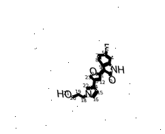 O=C1Nc2cc(F)ccc2/C1=C1/C=C(c2ccn(CCCO)c2)CO1